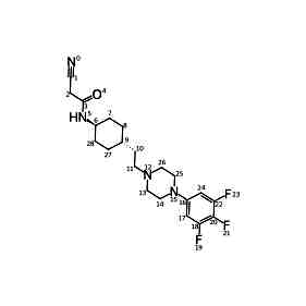 N#CCC(=O)N[C@H]1CC[C@H](CCN2CCN(c3cc(F)c(F)c(F)c3)CC2)CC1